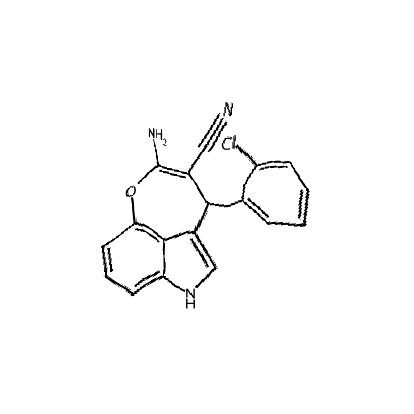 N#CC1=C(N)Oc2cccc3[nH]cc(c23)C1c1ccccc1Cl